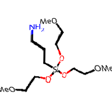 COCCO[Si](CCCN)(OCCOC)OCCOC